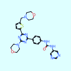 O=C(Nc1ccc(-c2nc(-c3ccc(CN4CCOCC4)s3)nc(N3CCOCC3)n2)cc1)Nc1cncnc1